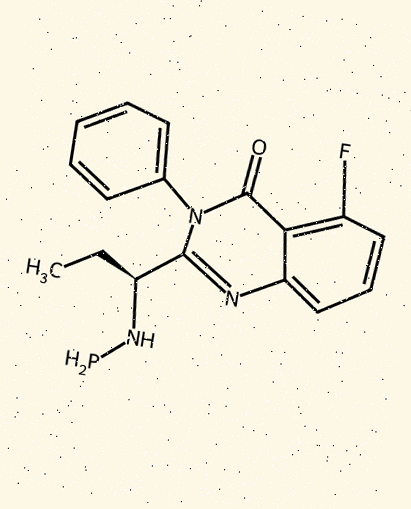 CC[C@H](NP)c1nc2cccc(F)c2c(=O)n1-c1ccccc1